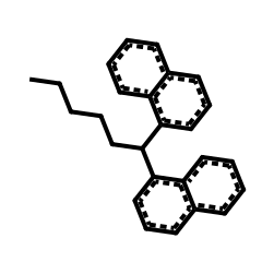 CCCCC[C](c1cccc2ccccc12)c1cccc2ccccc12